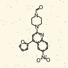 O=CN1CCN(c2cc(-c3ccco3)c3cc([N+](=O)[O-])ccc3n2)CC1